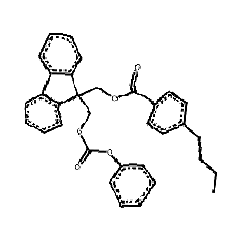 CCCCc1ccc(C(=O)OCC2(COC(=O)Oc3ccccc3)c3ccccc3-c3ccccc32)cc1